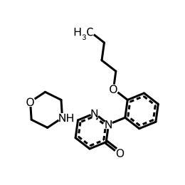 C1COCCN1.CCCCOc1ccccc1-n1ncccc1=O